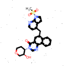 CS(=O)(=O)n1ccc2c(Cc3cc4c(=O)n([C@H]5CCOC[C@@H]5O)cnc4c4ccccc34)ccnc21